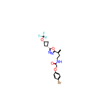 C=C(CCNC(=O)COc1ccc(Br)cc1)c1nnc([C@H]2C[C@@H](OC(F)(F)F)C2)o1